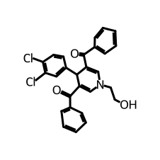 O=C(C1=CN(CCO)C=C(C(=O)c2ccccc2)C1c1ccc(Cl)c(Cl)c1)c1ccccc1